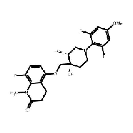 COc1cc(F)c(N2CC[C@@](O)(COc3ccc(F)c4c3CCC(=O)N4C)[C@H](O)C2)c(F)c1